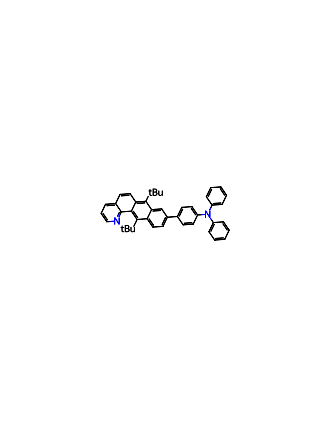 CC(C)(C)c1c2cc(-c3ccc(N(c4ccccc4)c4ccccc4)cc3)ccc2c(C(C)(C)C)c2c1ccc1cccnc12